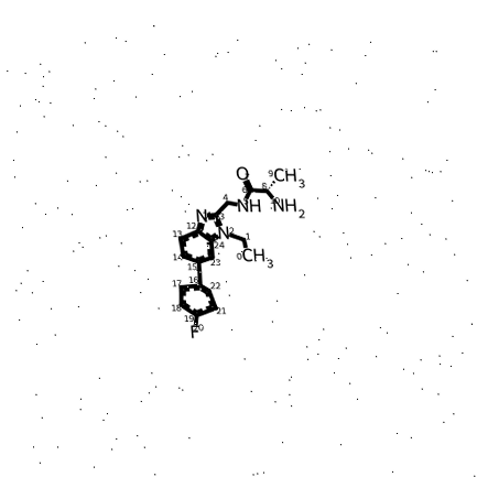 CCn1c(CNC(=O)[C@H](C)N)nc2ccc(-c3ccc(F)cc3)cc21